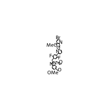 COC(=O)c1ccc2nc(Cc3cc(F)c(-c4cccc(OCc5ncc(Br)cc5OC)n4)cc3F)n(C[C@@H]3CCO3)c2c1